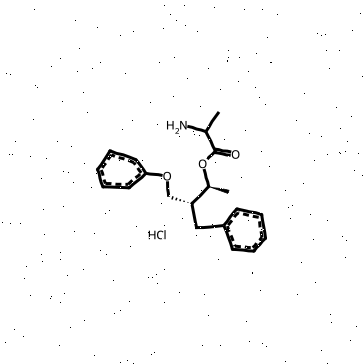 CC(N)C(=O)O[C@@H](C)[C@@H](COc1ccccc1)Cc1ccccc1.Cl